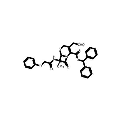 CO[C@]1(NC(=O)COc2ccccc2)C(=O)N2C(C(=O)OC(c3ccccc3)c3ccccc3)=C(CC=O)COC21